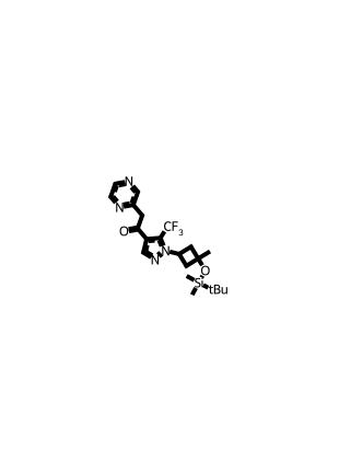 CC1(O[Si](C)(C)C(C)(C)C)CC(n2ncc(C(=O)Cc3cnccn3)c2C(F)(F)F)C1